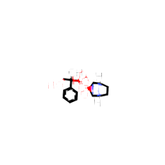 CC(CO)(C(=O)O[C@@H]1C[C@H]2CC[C@@H](C1)N2C(=O)O)c1ccccc1